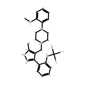 COc1ccccc1N1CCN(Cc2c(-c3ccccc3OC(F)(F)F)noc2C)CC1